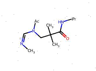 C/N=C\N(CC(C)(C)C(=O)NC(C)C)C(C)=O